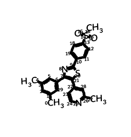 Cc1cc(C)cc(-c2nc(-c3ccc(S(C)(=O)=O)cc3)sc2-c2ccnc(C)c2)c1